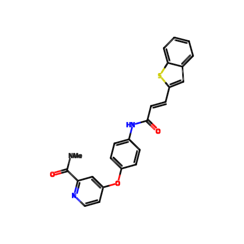 CNC(=O)c1cc(Oc2ccc(NC(=O)/C=C/c3cc4ccccc4s3)cc2)ccn1